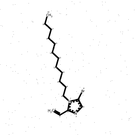 C=Cc1ncc(Br)n1CCCCCCCCCCCC